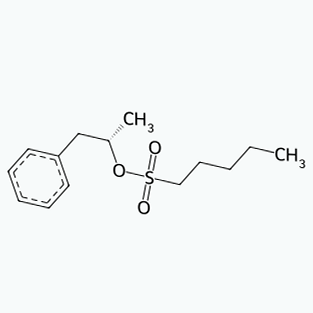 CCCCCS(=O)(=O)O[C@@H](C)Cc1ccccc1